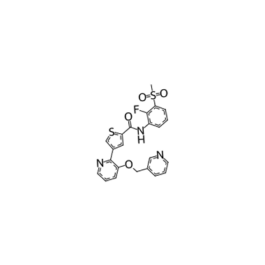 CS(=O)(=O)c1cccc(NC(=O)c2cc(-c3ncccc3OCc3cccnc3)cs2)c1F